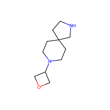 C1CC2(CCN(C3COC3)CC2)CN1